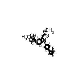 COC(=O)Cc1nn(-c2ccc(C3CCC3(F)F)cc2)c2c1CN(C(=O)OC(C)(C)C)CC2